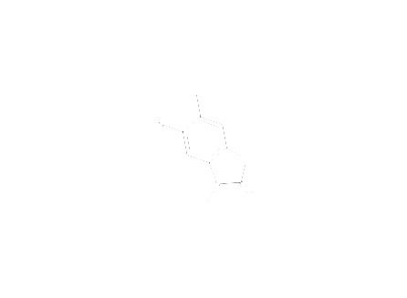 Cc1cc2oc(=O)n(C)c2cc1N